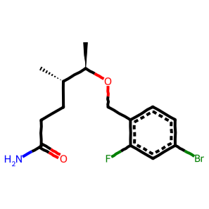 C[C@@H](CCC(N)=O)[C@@H](C)OCc1ccc(Br)cc1F